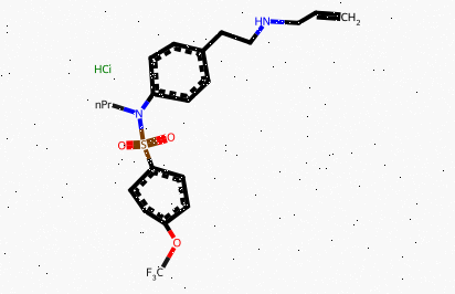 C=CCNCCc1ccc(N(CCC)S(=O)(=O)c2ccc(OC(F)(F)F)cc2)cc1.Cl